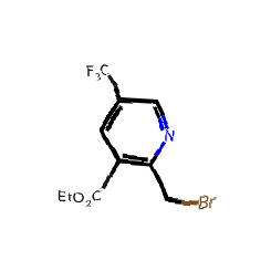 CCOC(=O)c1cc(C(F)(F)F)cnc1CBr